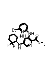 CCc1cccc(Nc2cc(N[C@H]3[C@@H](N)CCCC3(F)F)cnc2C(N)=O)n1